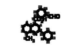 Cc1cccc2c(C(=O)O)cc(-c3ccccc3)nc12.O=Cc1ccccc1